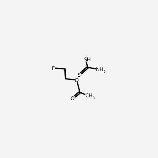 CC(=O)OCCF.NC(=S)S